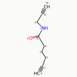 C#CCCCC(=O)NCC#C